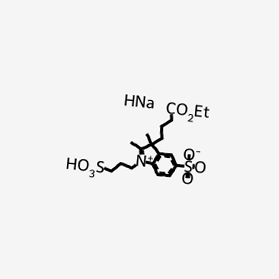 CCOC(=O)CCCC1(C)C(C)=[N+](CCCS(=O)(=O)O)c2ccc(S(=O)(=O)[O-])cc21.[NaH]